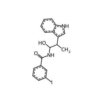 CC(c1c[nH]c2ccccc12)C(O)NC(=O)c1cccc(I)c1